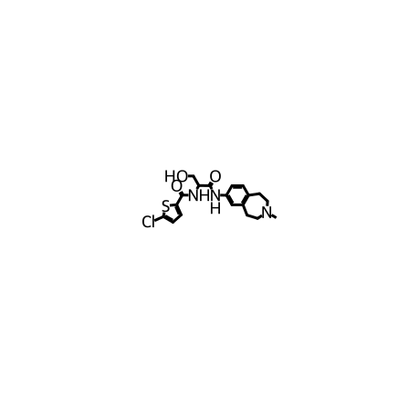 CN1CCc2ccc(NC(=O)C(CO)NC(=O)c3ccc(Cl)s3)cc2CC1